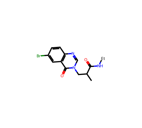 CCNC(=O)C(C)Cn1cnc2ccc(Br)cc2c1=O